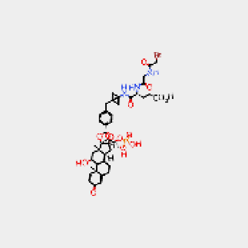 C[C@]12C=CC(=O)C=C1CCC1C2[C@@H](O)C[C@@]2(C)[C@H]1C[C@H]1O[C@@H](c3ccc(CC45CC4(NC(=O)[C@H](CCC(=O)O)NC(=O)CNC(=O)CBr)C5)cc3)O[C@]12C(=O)COP(=O)(O)O